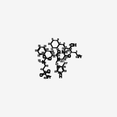 CC(C)CC[C@H](O)[C@H](CC1CCCCC1)NC(=O)[C@H](Cc1c[nH]cn1)N(C)C(=O)[C@H](Cc1ccccc1)OC(=O)N(C)CCS(=O)(=O)C(C)C